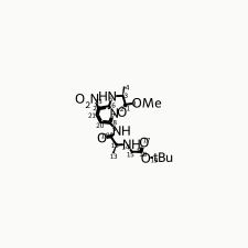 COC(=O)[C@H](C)Nc1nc(NC(=O)[C@H](C)NCC(=O)OC(C)(C)C)ccc1[N+](=O)[O-]